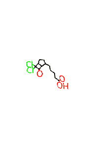 O=C(O)CCCCC1CCC2C1C(=O)C2(Cl)Cl